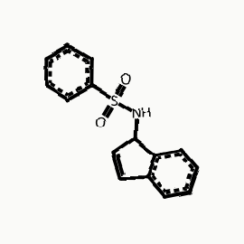 O=S(=O)(NC1C=Cc2ccccc21)c1ccccc1